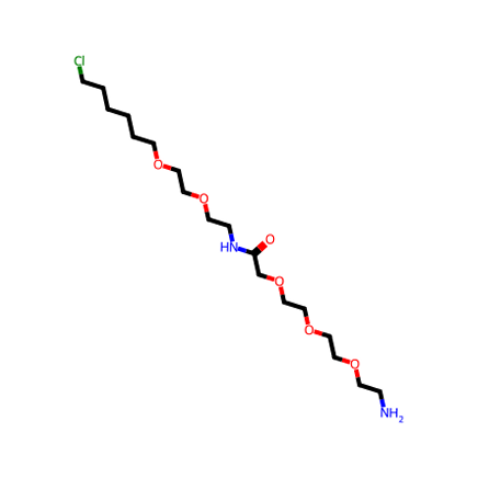 NCCOCCOCCOCC(=O)NCCOCCOCCCCCCCl